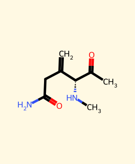 C=C(CC(N)=O)[C@@H](NC)C(C)=O